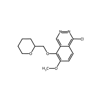 COc1ccc2c(Cl)nncc2c1OCC1CCCCO1